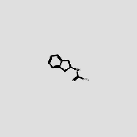 NC(=S)NC1Cc2ccccc2C1